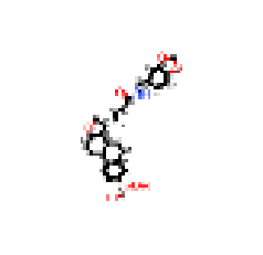 C[C@]12CCC3c4ccc(B(O)O)cc4CCC3C1[C@@H](CCCC(=O)NCc1ccc3c(c1)OCO3)CO2